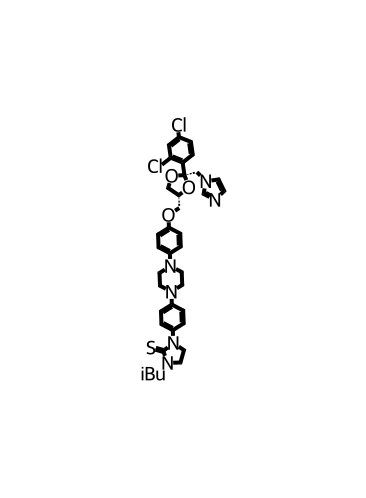 CCC(C)N1CCN(c2ccc(N3CCN(c4ccc(OC[C@@H]5CO[C@@](Cn6ccnc6)(c6ccc(Cl)cc6Cl)O5)cc4)CC3)cc2)C1=S